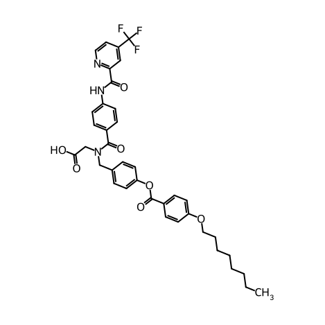 CCCCCCCCOc1ccc(C(=O)Oc2ccc(CN(CC(=O)O)C(=O)c3ccc(NC(=O)c4cc(C(F)(F)F)ccn4)cc3)cc2)cc1